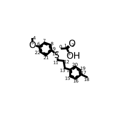 CC(=O)O.COc1ccc(SCCCc2ccc(C)cc2)cc1